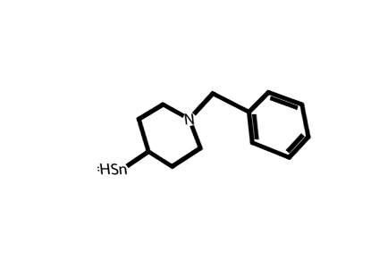 [SnH][CH]1CCN(Cc2ccccc2)CC1